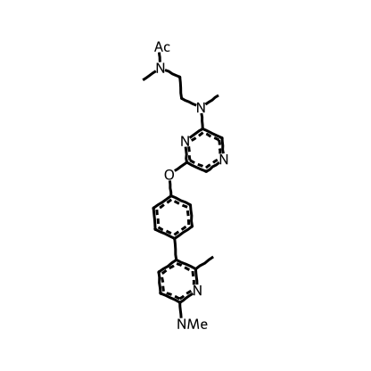 CNc1ccc(-c2ccc(Oc3cncc(N(C)CCN(C)C(C)=O)n3)cc2)c(C)n1